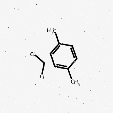 Cc1ccc(C)cc1.ClCCl